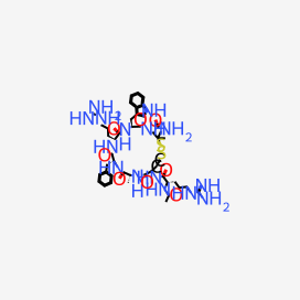 CC(=O)N[C@@H](CCCNC(=N)N)C(=O)N[C@H]1CCSSC(C)(C)[C@@H](C(N)=O)NC(=O)[C@H](Cc2c[nH]c3ccccc23)NC(=O)[C@H](CCCNC(=N)N)NC(=O)[C@@H](Cc2ccccc2)NC(=O)[C@@H](C)NC1=O